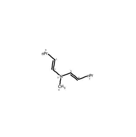 CCC/C=C/N(C)/C=C/CCC